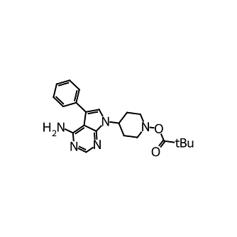 CC(C)(C)C(=O)ON1CCC(n2cc(-c3ccccc3)c3c(N)ncnc32)CC1